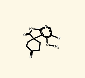 COc1c(Br)cnc2c1C1(CCC(=O)CC1)C(=O)N2